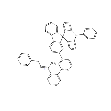 N/C(=N\Cc1ccccc1)c1ccccc1-c1cccc(-c2ccc3c(c2)C2(c4ccccc4-3)c3ccccc3N(c3ccccc3)c3ccccc32)c1